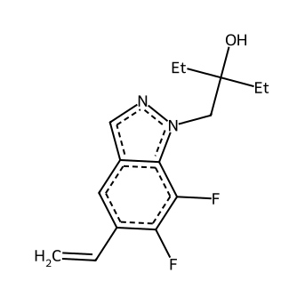 C=Cc1cc2cnn(CC(O)(CC)CC)c2c(F)c1F